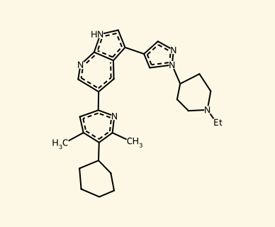 CCN1CCC(n2cc(-c3c[nH]c4ncc(-c5cc(C)c(C6CCCCC6)c(C)n5)cc34)cn2)CC1